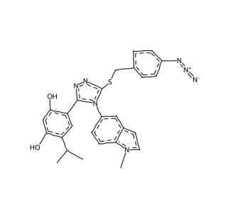 CC(C)c1cc(-c2nnc(SCc3ccc(N=[N+]=[N-])cc3)n2-c2ccc3c(ccn3C)c2)c(O)cc1O